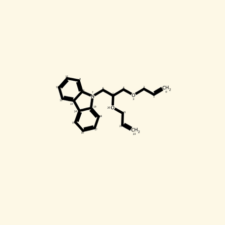 C=CCOCC(Cn1c2ccccc2c2ccccc21)OCC=C